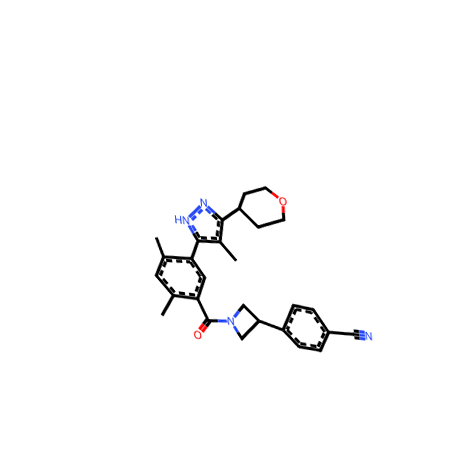 Cc1cc(C)c(-c2[nH]nc(C3CCOCC3)c2C)cc1C(=O)N1CC(c2ccc(C#N)cc2)C1